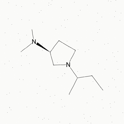 CCC(C)N1CC[C@H](N(C)C)C1